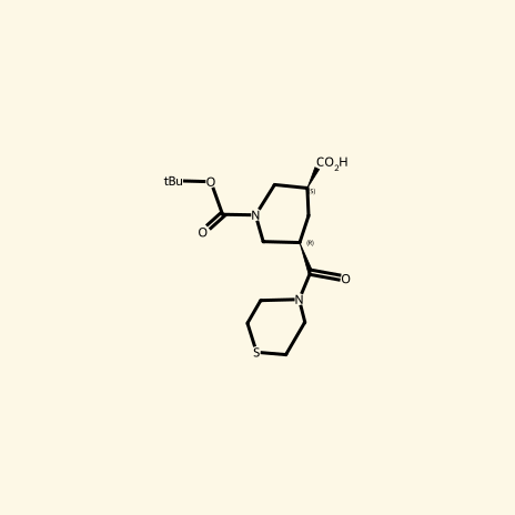 CC(C)(C)OC(=O)N1C[C@@H](C(=O)O)C[C@@H](C(=O)N2CCSCC2)C1